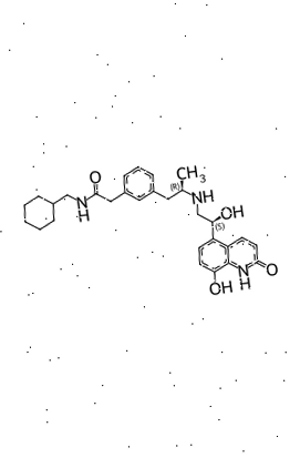 C[C@H](Cc1cccc(CC(=O)NCC2CCCCC2)c1)NC[C@@H](O)c1ccc(O)c2[nH]c(=O)ccc12